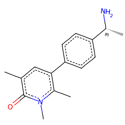 Cc1cc(-c2ccc([C@@H](C)N)cc2)c(C)n(C)c1=O